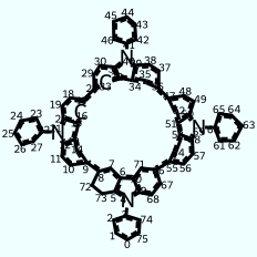 c1ccc(-n2c3c4cc(c5ccc6c(c5)c5cc(ccc5n6-c5ccccc5)c5ccc6c(c5)c5cc(ccc5n6-c5ccccc5)c5ccc6c(c5)c5cc(ccc5n6-c5ccccc5)c5ccc2c4c5)CC3)cc1